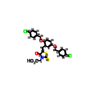 O=C(O)CN1C(=O)/C(=C/c2cc(OCc3ccc(Cl)cc3)ccc2OCc2ccc(Cl)cc2)SC1=S